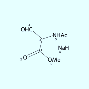 COC(=O)C(C=O)NC(C)=O.[NaH]